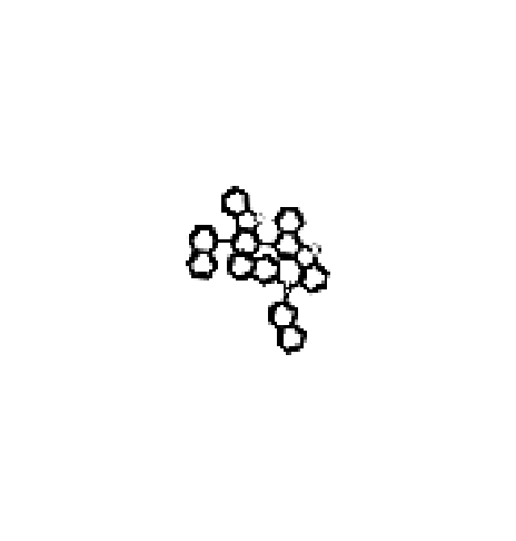 c1ccc2cc(N(c3ccc4ccccc4c3)c3cccc4oc5c6ccccc6c(-c6ccc(-c7cccc8ccccc78)c7c6oc6ccccc67)cc5c34)ccc2c1